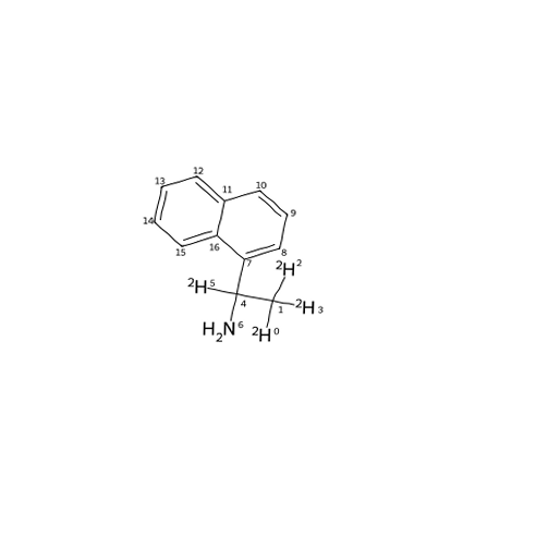 [2H]C([2H])([2H])C([2H])(N)c1cccc2ccccc12